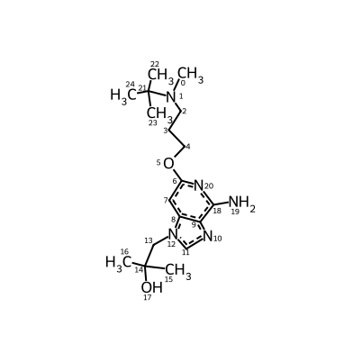 CN(CCCOc1cc2c(ncn2CC(C)(C)O)c(N)n1)C(C)(C)C